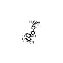 Cc1c(-c2[nH]c3ccc(C4CCN(CC(C)(C)O)CC4)cc3c2C(C)C)cc(C#N)c(=O)n1C